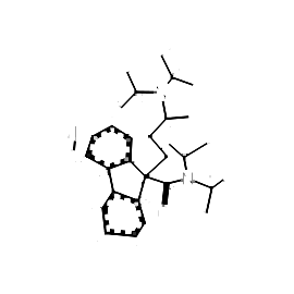 CC(C)N(C(=O)C1(CCC(C)N(C(C)C)C(C)C)c2ccccc2-c2ccccc21)C(C)C.CI